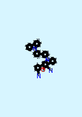 N#Cc1cccc2c1oc1c(C#N)c3c4ccccc4n(-c4cccc(-c5cccc(-n6c7ccccc7c7ccccc76)c5)c4)c3cc12